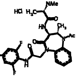 CN[C@@H](C)C(=O)N[C@@H]1C(=O)N(CC(=O)Nc2c(F)cccc2F)c2ccccc2N(C(C)=O)[C@H]1C.Cl